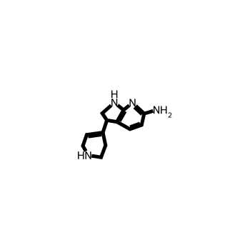 Nc1ccc2c(n1)NCC2C1=CCNCC1